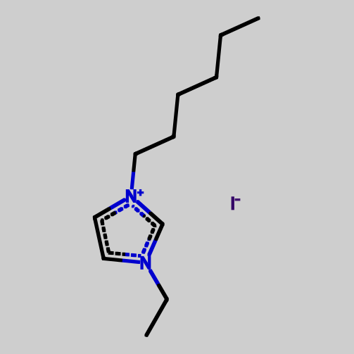 CCCCCC[n+]1ccn(CC)c1.[I-]